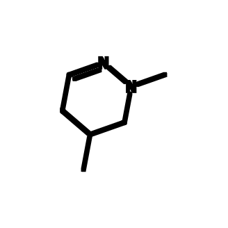 CC1CC=NN(C)C1